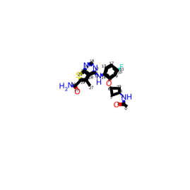 CC(=O)N[C@H]1C[C@H](Oc2cc(F)ccc2Nc2ncnc3sc(C(N)=O)c(C)c23)C1